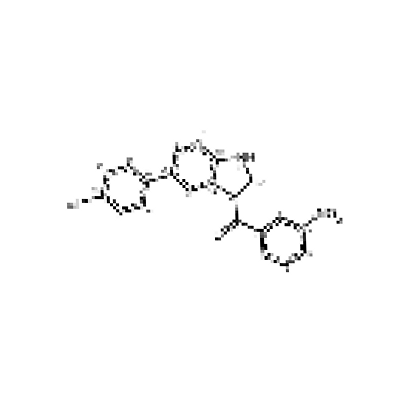 O=C(c1cccc([N+](=O)[O-])c1)C1CNc2ncc(-c3ccc(F)cc3)cc21